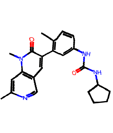 Cc1cc2c(cn1)cc(-c1cc(NC(=O)NC3CCCC3)ccc1C)c(=O)n2C